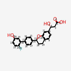 O=C(O)C[C@@H](O)c1ccc2c(c1)OC(c1ccc(-c3cc(O)ccc3F)cc1)CC2